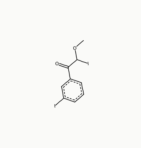 COC(I)C(=O)c1cccc(I)c1